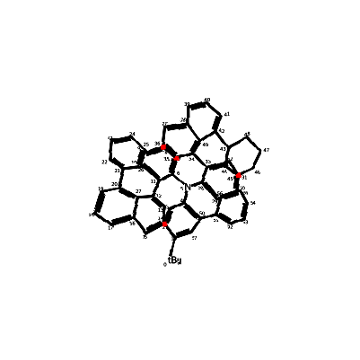 CC(C)(C)c1ccc(N(c2ccccc2-c2cccc3cccc(-c4ccccc4)c23)c2ccccc2-c2cccc3cccc(C4CCCCC4)c23)c(-c2ccccc2)c1